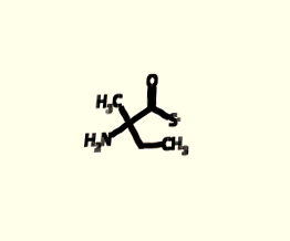 CCC(C)(N)C(=O)[S]